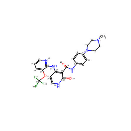 CN1CCN(c2ccc(NC(=O)c3c(Nc4ncccc4OC(F)(F)F)cc[nH]c3=O)cc2)CC1